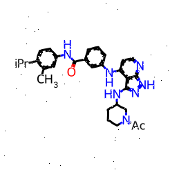 CC(=O)N1CCCC(Nc2n[nH]c3nccc(Nc4cccc(C(=O)Nc5ccc(C(C)C)c(C)c5)c4)c23)C1